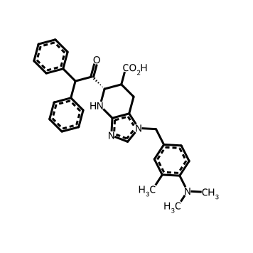 Cc1cc(Cn2cnc3c2CC(C(=O)O)[C@@H](C(=O)C(c2ccccc2)c2ccccc2)N3)ccc1N(C)C